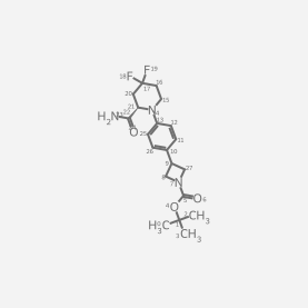 CC(C)(C)OC(=O)N1CC(c2ccc(N3CCC(F)(F)C[C@@H]3C(N)=O)cc2)C1